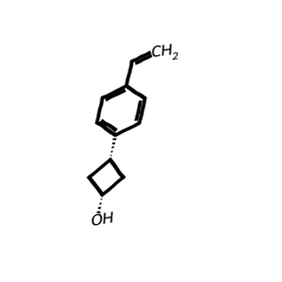 C=Cc1ccc([C@H]2C[C@@H](O)C2)cc1